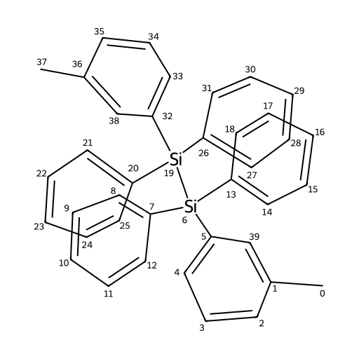 Cc1cccc([Si](c2ccccc2)(c2ccccc2)[Si](c2ccccc2)(c2ccccc2)c2cccc(C)c2)c1